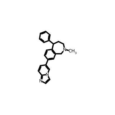 CN1CCC(c2ccccc2)c2ccc(-c3ccc4nccn4c3)cc2C1